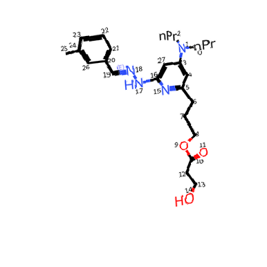 CCCN(CCC)c1cc(CCCOC(=O)CCO)nc(N/N=C/c2cccc(C)c2)c1